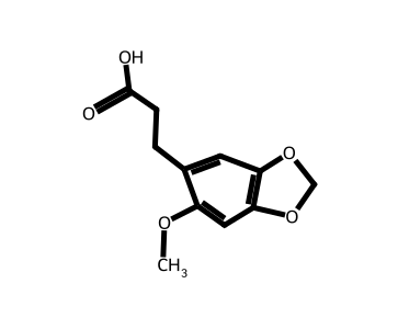 COc1cc2c(cc1CCC(=O)O)OCO2